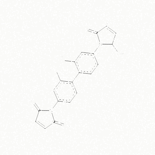 O=C1C=CC(=O)N1c1ccc(-c2ccc(N3C(=O)C=CC3O)cc2C(F)(F)F)c(C(F)(F)F)c1